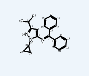 FC(F)c1cc(N=C(c2ccccc2)c2ccccc2)n(C2CC2)n1